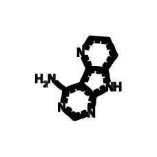 Nc1ncnc2[nH]c3cccnc3c12